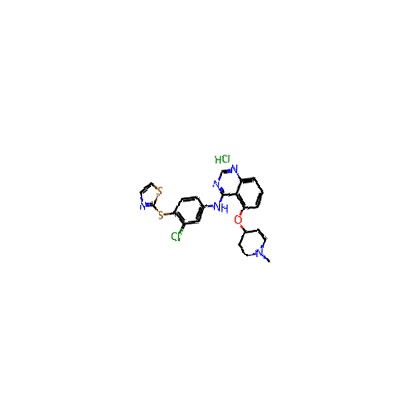 CN1CCC(Oc2cccc3ncnc(Nc4ccc(Sc5nccs5)c(Cl)c4)c23)CC1.Cl